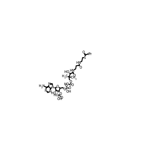 CC(C)C(=O)SCCNC(=O)CCNC(=O)[C@H](O)C(C)(C)COP(=O)(O)OP(=O)(O)OCC1O[C@@H](n2cnc3c(N)ncnc32)[C@H](O)[C@@H]1OP(=O)(O)O